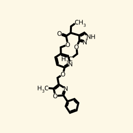 CCOc1n[nH]cc1C(CC)C(=O)OCc1ccc(OCc2nc(-c3ccccc3)oc2C)nc1